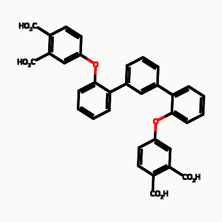 O=C(O)c1ccc(Oc2ccccc2-c2cccc(-c3ccccc3Oc3ccc(C(=O)O)c(C(=O)O)c3)c2)cc1C(=O)O